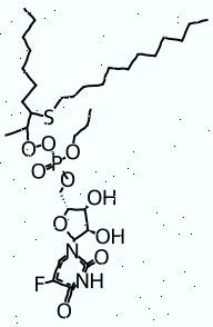 CCCCCCCCCCCCSC(CCCCCCC)C(C)OOP(=O)(OCCC)OC[C@H]1O[C@@H](n2cc(F)c(=O)[nH]c2=O)[C@H](O)[C@@H]1O